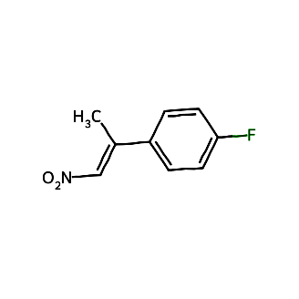 CC(=C[N+](=O)[O-])c1ccc(F)cc1